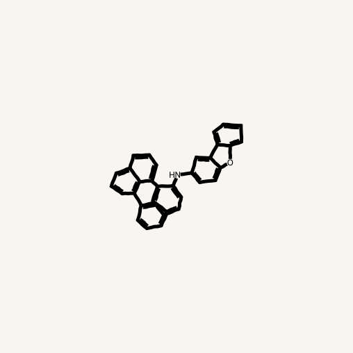 c1ccc(-c2cccc3cccc(-c4ccccc4Nc4ccc5oc6ccccc6c5c4)c23)cc1